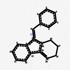 C(/c1ccccc1)=c1\c2ccccc2c2n1CCCN=2